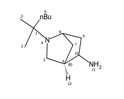 CCCCC(C)(C)N1C[C@H]2CC1CC2N